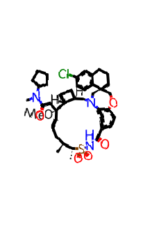 CO[C@@]1(CC(=O)N(C)C2CCCC2)/C=C/C[C@H](C)[C@@H](C)S(=O)(=O)NC(=O)c2ccc3c(c2)N(C[C@@H]2CC[C@H]21)C[C@@]1(CCCc2cc(Cl)ccc21)CO3